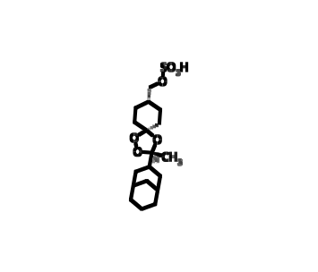 C[C@@]1(C2CC3CCCC(C3)C2)OO[C@]2(CC[C@@H](COS(=O)(=O)O)CC2)O1